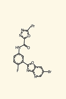 CC(C)c1nnc(C(=O)Nc2ccc(F)c(-c3nc4ncc(Br)cc4o3)c2)o1